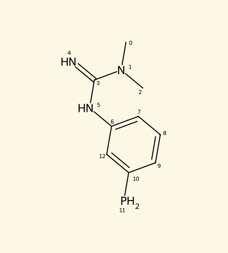 CN(C)C(=N)Nc1cccc(P)c1